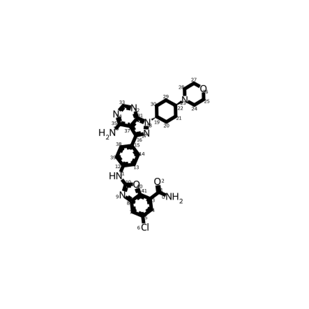 NC(=O)c1cc(Cl)cc2nc(Nc3ccc(-c4nn([C@H]5CC[C@H](N6CCOCC6)CC5)c5ncnc(N)c45)cc3)oc12